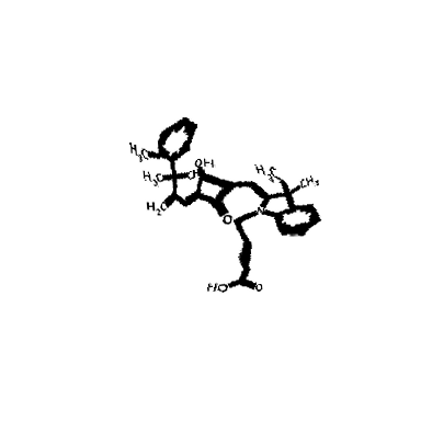 C=C(/C=C1/C(=O)C(/C=C2\N(CCCC(=O)O)c3ccccc3C2(C)C)=C1O)C(C)(C)c1ccccc1C